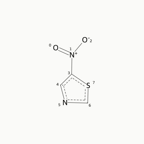 O=[N+]([O-])c1[c]ncs1